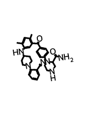 Cc1cc(C)c(C(=O)c2ccc(N3CCNCC3C(N)=O)cc2)cc1NC1CCN(c2ccccc2C#N)CC1